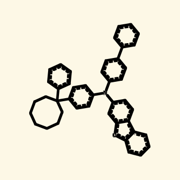 c1ccc(-c2ccc(N(c3ccc(C4(c5ccccc5)CCCCCCC4)cc3)c3ccc4c(c3)oc3ccccc34)cc2)cc1